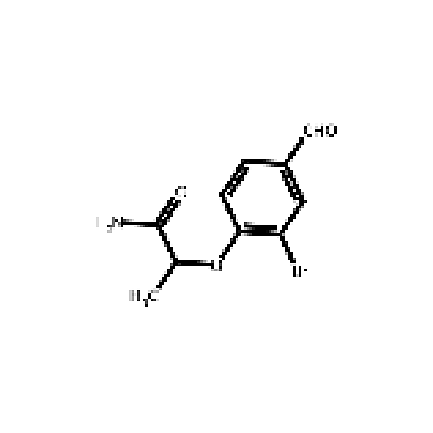 CC(Oc1ccc(C=O)cc1Br)C(N)=O